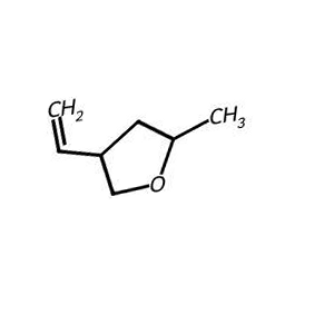 C=CC1COC(C)C1